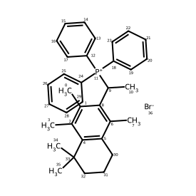 Cc1c(C)c2c(c(C)c1C(C)[P+](c1ccccc1)(c1ccccc1)c1ccccc1)CCCC2(C)C.[Br-]